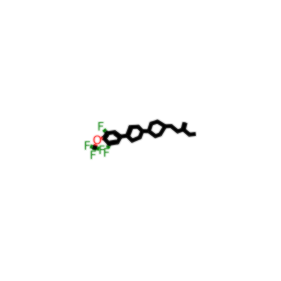 C=C(CC)CCC1CCC(C2CC=C(c3cc(F)c(OC(F)(F)F)c(F)c3)CC2)CC1